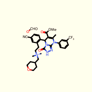 COC(=O)C1=C(C)N(c2cccc(C(F)(F)F)c2)c2n[nH]c(=O)n2C1c1ccc(C#N)cc1CC[N+](C)(C)CC1CCOCC1.O=C[O-]